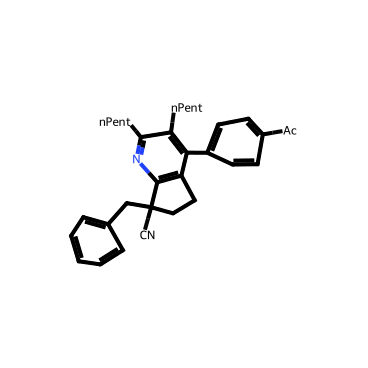 CCCCCc1nc2c(c(-c3ccc(C(C)=O)cc3)c1CCCCC)CCC2(C#N)Cc1ccccc1